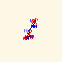 Cn1cc(-c2cc([N+](=O)[O-])ccc2Oc2ccc(NC(=O)CCCCCNc3ccc4c(c3)C(=O)N(C3CCC(=O)NC3=O)C4=O)cc2)c2cc[nH]c2c1=O